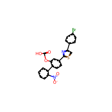 O=C(O)Oc1cc(-c2nc(-c3ccc(Br)cc3)cs2)ccc1-c1ccccc1[N+](=O)[O-]